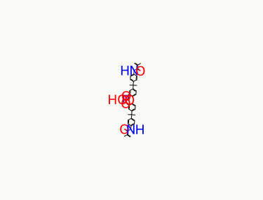 C=C(C)C(=O)Nc1ccc(C(C)(C)c2cccc(OP(=O)(O)Oc3cccc(C(C)(C)c4ccc(NC(=O)C(=C)C)cc4)c3)c2)cc1